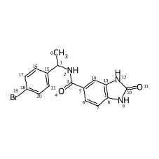 CC(NC(=O)c1ccc2[nH]c(=O)[nH]c2c1)c1ccc(Br)cc1